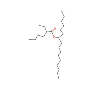 CCCCCCCCCC(CCCCCC)OC(=O)C(CC)CCCC